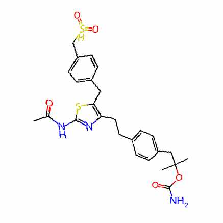 CC(=O)Nc1nc(CCc2ccc(CC(C)(C)OC(N)=O)cc2)c(Cc2ccc(C[SH](=O)=O)cc2)s1